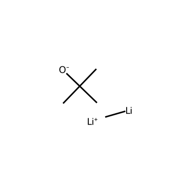 CC(C)(C)[O-].[Li+].[Li][CH3]